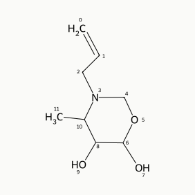 C=CCN1COC(O)C(O)C1C